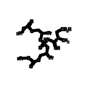 CCCOC(=O)OCC(OP(=O)(NC(=N)N(C)CC(=O)O)OC(COC(=O)OCCC)C(C)C)C(C)C